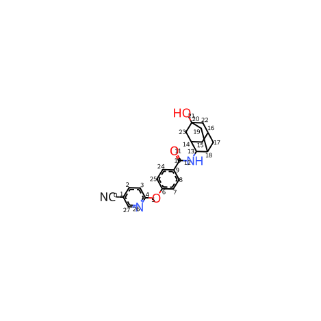 N#Cc1ccc(Oc2ccc(C(=O)NC3C4CC5CC3CC(O)(C5)C4)cc2)nc1